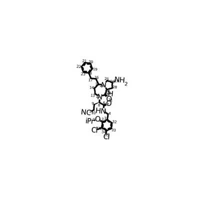 CC(C)Oc1c(CNC(=O)[C@@H](CCC#N)N2CCC(CCc3ccccc3)N3C[C@H](N)C[C@H]3C2=O)ccc(Cl)c1Cl